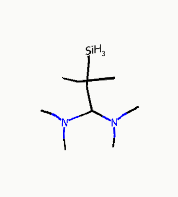 CN(C)C(N(C)C)C(C)(C)[SiH3]